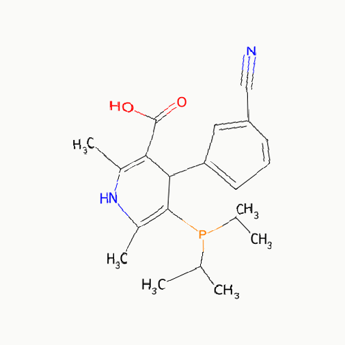 CC1=C(C(=O)O)C(c2cccc(C#N)c2)C(P(C(C)C)C(C)C)=C(C)N1